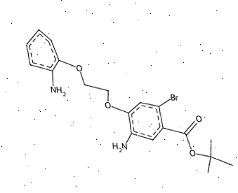 CC(C)(C)OC(=O)c1cc(N)c(OCCOc2ccccc2N)cc1Br